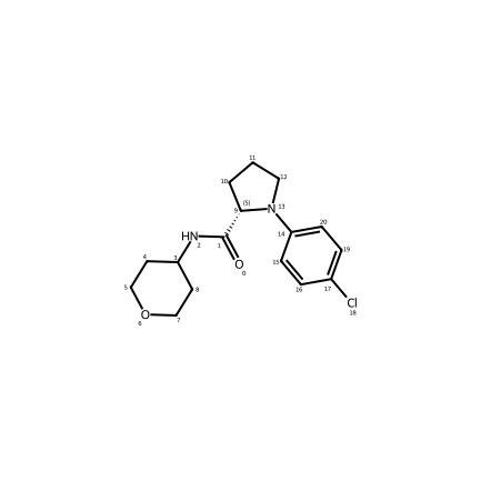 O=C(NC1CCOCC1)[C@@H]1CCCN1c1ccc(Cl)cc1